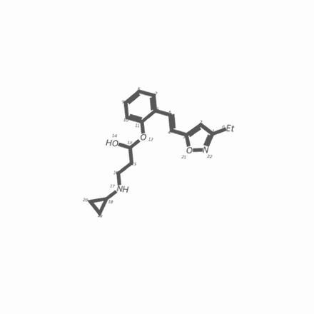 CCc1cc(C=Cc2ccccc2OC(O)CCNC2CC2)on1